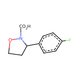 O=C(O)N1OCCC1c1ccc(F)cc1